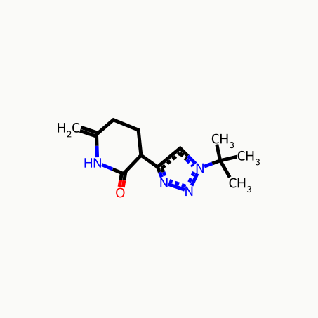 C=C1CCC(c2cn(C(C)(C)C)nn2)C(=O)N1